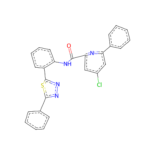 O=C(Nc1ccccc1-c1nnc(-c2ccccc2)s1)c1cc(Cl)cc(-c2ccccc2)n1